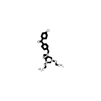 CCON1Cc2c(ncn2Cc2ccc(C(=O)c3ccc(Cl)cc3)cc2)N(OCC)C1